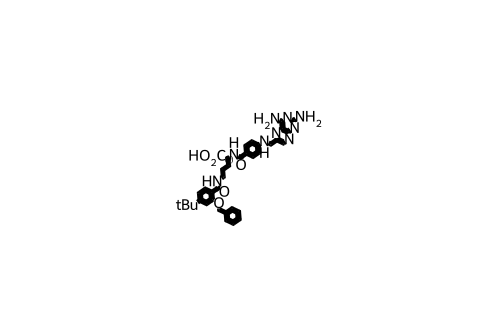 CC(C)(C)c1ccc(C(=O)NCCC[C@H](NC(=O)c2ccc(NCc3cnc4nc(N)nc(N)c4n3)cc2)C(=O)O)c(OCc2ccccc2)c1